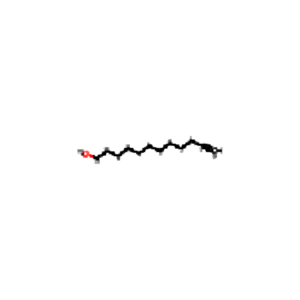 C#CCCCCCCCCCC[O]